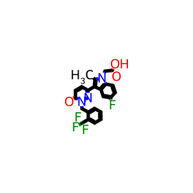 Cc1c(-c2ccc(=O)n(Cc3ccccc3C(F)(F)F)n2)c2cc(F)ccc2n1CC(=O)O